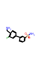 NCc1ccc(-c2cccc(S(N)(=O)=O)c2)cc1F